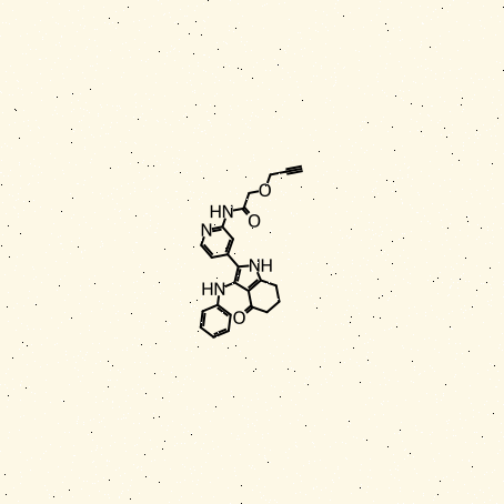 C#CCOCC(=O)Nc1cc(-c2[nH]c3c(c2Nc2ccccc2)C(=O)CCC3)ccn1